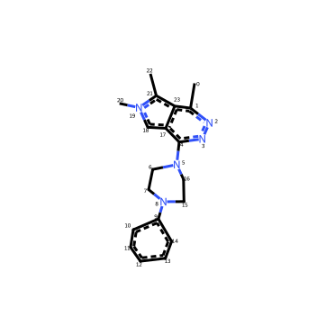 Cc1nnc(N2CCN(c3ccccc3)CC2)c2cn(C)c(C)c12